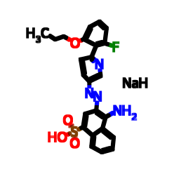 CCCOc1cccc(F)c1-c1ccc(N=Nc2cc(S(=O)(=O)O)c3ccccc3c2N)cn1.[NaH]